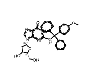 COc1ccc(C(Nc2nc3c(ncn3[C@H]3CC(O)[C@@H](CO)O3)c(=O)[nH]2)(c2ccccc2)c2ccccc2)cc1